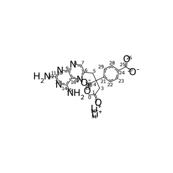 CC(=O)CC(Cc1cnc2nc(N)nc(N)c2n1)(C(=O)[O-])c1ccc(C(=O)[O-])cc1.[Li+].[Li+]